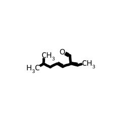 CC=C(C=O)C=CCC(C)C